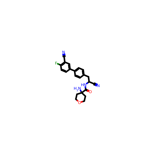 N#Cc1cc(-c2ccc(CC(C#N)NC(=O)C3(N)CCOCC3)cc2)ccc1F